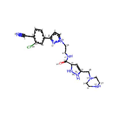 N#Cc1ccc(-c2ccn(CCNC(=O)C3C=C(CN4CCNCC4)NN3)n2)cc1Cl